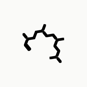 C=CN(C)CCN(C)CCN(C)CCN(C)C